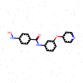 O=C(Nc1cccc(Oc2ccncc2)c1)c1ccc(NO)cc1